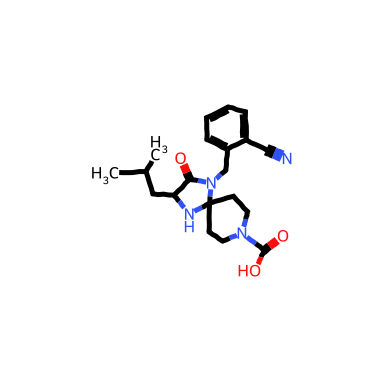 CC(C)CC1NC2(CCN(C(=O)O)CC2)N(Cc2ccccc2C#N)C1=O